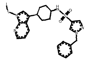 O=S(=O)(NC1CCC(c2cn(SI)c3ncccc23)CC1)c1cnn(Cc2ccccc2)c1